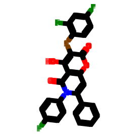 O=c1oc2cc(-c3ccccc3)n(-c3ccc(F)cc3)c(=O)c2c(O)c1Sc1ccc(F)cc1F